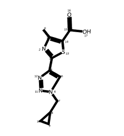 Cc1nc(-c2cn(CC3CC3)nn2)sc1C(=O)O